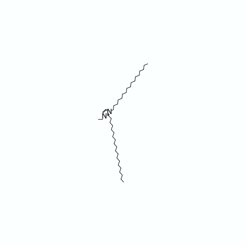 CCCCCCCCCCCCCCCCCCCc1n(CCCCCCCCCCCCCCCCC)cc[n+]1CC